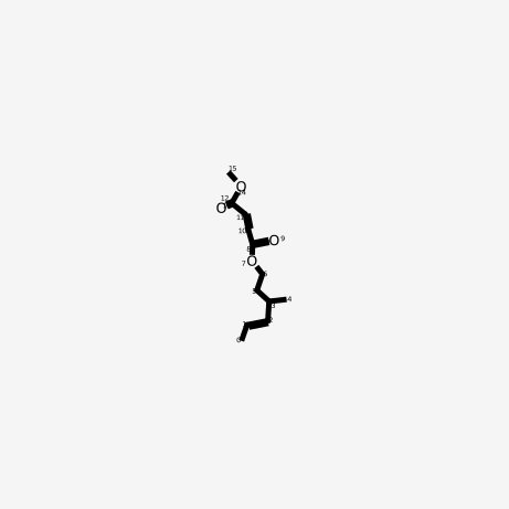 C/C=C/C(C)CCOC(=O)/C=C/C(=O)OC